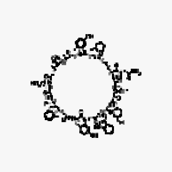 CCCC[C@H]1C(=O)N(C)CC(=O)N[C@@H](CC(=O)O)C(=O)N[C@@H](C(C)C)C(=O)N(C)[C@@H](Cc2ccccc2)C(=O)N[C@H]2Cc3ccc(O)cc3N(CC(=O)N[C@@H](Cc3c[nH]c4ccccc34)C(=O)NC(Cc3ccc(O)cc3)C(=O)N[C@@H](CC(C)C)C(=O)N[C@H](C(=O)NCC(N)=O)CSCC(=O)N[C@@H](Cc3ccccc3)C(=O)N(C)[C@@H](Cc3ccc(O)cc3)C(=O)N1C)C2=O